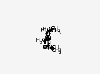 C=C(C#C[C@H]1CCCc2sc(/N=C/N(C)C)c(C#N)c21)c1ccnc(N2CCCN(C(=C)CC(C)(C)C)CC2)n1